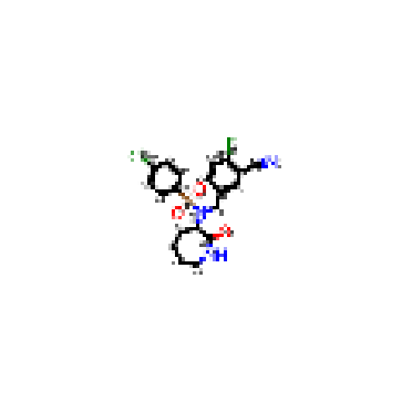 N#Cc1cc(CN(C2CCCCNC2=O)S(=O)(=O)c2ccc(Cl)cc2)ccc1F